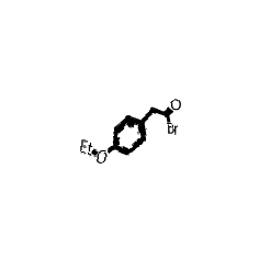 CCOc1ccc(CC(=O)Br)cc1